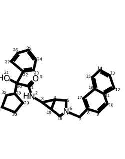 O=C(NC1C2CN(Cc3ccc4ccccc4c3)CC21)C(O)(c1ccccc1)C1CCCC1